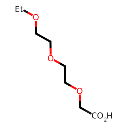 [CH2]COCCOCCOCC(=O)O